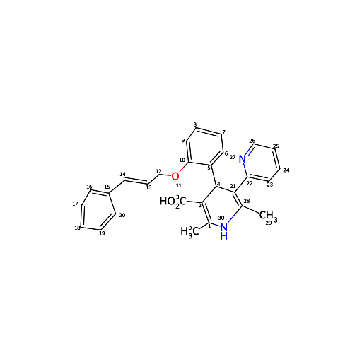 CC1=C(C(=O)O)C(c2ccccc2OCC=Cc2ccccc2)C(c2ccccn2)=C(C)N1